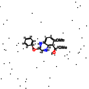 COC(=O)c1c(OC)ccc2nc(Oc3ccccc3)cnc12